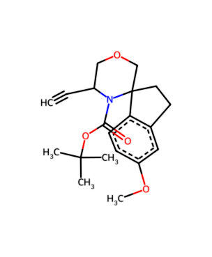 C#CC1COCC2(CCc3cc(OC)ccc32)N1C(=O)OC(C)(C)C